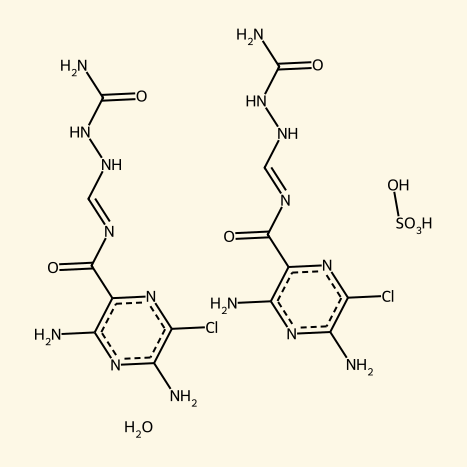 NC(=O)NNC=NC(=O)c1nc(Cl)c(N)nc1N.NC(=O)NNC=NC(=O)c1nc(Cl)c(N)nc1N.O.O=S(=O)(O)O